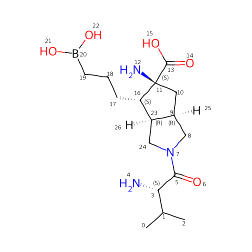 CC(C)[C@H](N)C(=O)N1C[C@@H]2C[C@@](N)(C(=O)O)[C@@H](CCCB(O)O)[C@@H]2C1